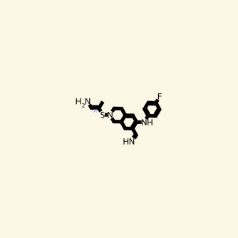 C/C(=C\N)SN1CCC2=CC(Nc3ccc(F)cc3)=C(C=N)CC2C1